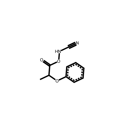 CC(Oc1ccccc1)C(=O)ONC#N